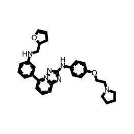 C1=COC(CNc2cccc(-c3cccc4nc(Nc5ccc(OCCN6CCCC6)cc5)nn34)c2)C1